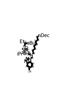 CCCCCCCCCCCCCCCCCCN(CSP(=S)(OCC(CC)CCCC)OC(C)C)Cn1nnc2cc(C)ccc21